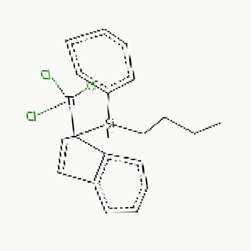 CCCC[SiH](c1ccccc1)[C]1([Ti]([Cl])([Cl])[Cl])C=Cc2ccccc21